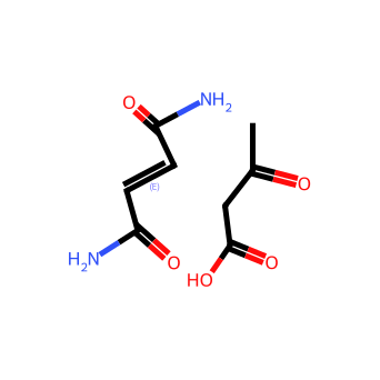 CC(=O)CC(=O)O.NC(=O)/C=C/C(N)=O